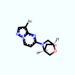 CC(=O)c1cnn2ccc(N3C[C@@H]4C[C@H]3CO4)nc12